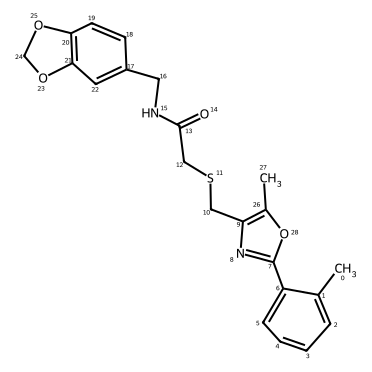 Cc1ccccc1-c1nc(CSCC(=O)NCc2ccc3c(c2)OCO3)c(C)o1